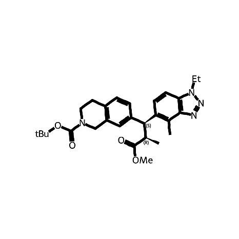 CCn1nnc2c(C)c([C@H](c3ccc4c(c3)CN(C(=O)OC(C)(C)C)CC4)[C@@H](C)C(=O)OC)ccc21